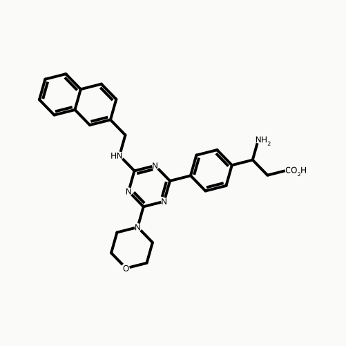 NC(CC(=O)O)c1ccc(-c2nc(NCc3ccc4ccccc4c3)nc(N3CCOCC3)n2)cc1